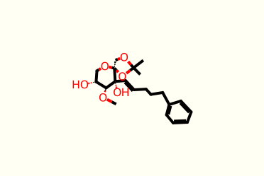 CO[C@@H]1[C@H](O)CO[C@]2(COC(C)(C)O2)[C@@]1(O)C=CCCCc1ccccc1